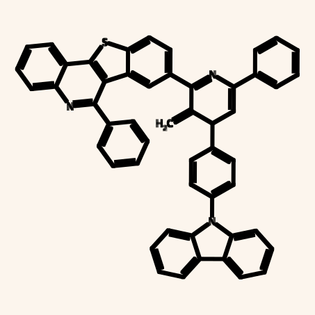 C=C1C(c2ccc3sc4c5ccccc5nc(-c5ccccc5)c4c3c2)=NC(c2ccccc2)=CC1c1ccc(-n2c3ccccc3c3ccccc32)cc1